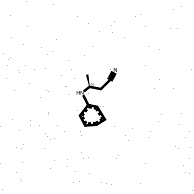 C[C@@H](CC#N)Nc1ccccc1